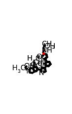 COc1cc(-c2nccc(-c3cccc(-c4ccc(CNC[C@@H](C)O)c(OC)n4)c3Cl)c2Cl)cc2c1CN(C[C@H](C)O)CC2